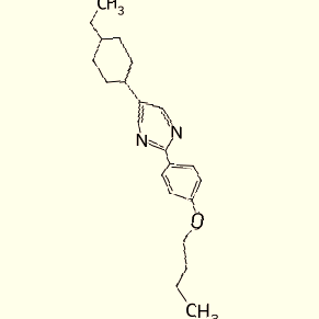 CCCCOc1ccc(-c2ncc(C3CCC(CC)CC3)cn2)cc1